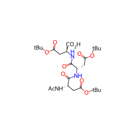 CC(=O)N[C@@H](CC(=O)OC(C)(C)C)C(=O)N[C@@H](CC(=O)OC(C)(C)C)C(=O)N[C@@H](CC(=O)OC(C)(C)C)C(=O)O